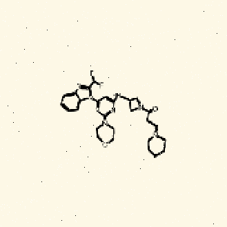 O=C(CCN1CCCCC1)N1CC(Nc2cc(-n3c(C(F)F)nc4ccccc43)nc(N3CCOCC3)n2)C1